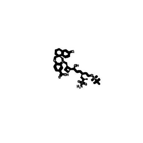 C[C@H](C[C@H](/C=C/[C@H](O)[C@@H]1CC[C@H]1CN1C[C@@]2(CCCc3cc(Cl)ccc32)COc2ccc(C(=O)O)cc21)CCO[Si](C)(C)C(C)(C)C)S(N)(=O)=O